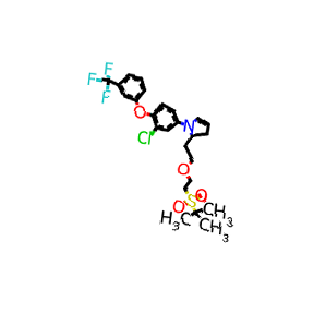 CC(C)(C)S(=O)(=O)CCOCCC1CC=CN1c1ccc(Oc2cccc(C(F)(F)F)c2)c(Cl)c1